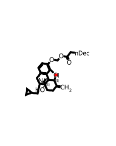 C=C1CC[C@@]2(O)C3Cc4ccc(OCOC(=O)CCCCCCCCCCC)c5c4[C@@]2(CCN3CC2CC2)[C@H]1O5